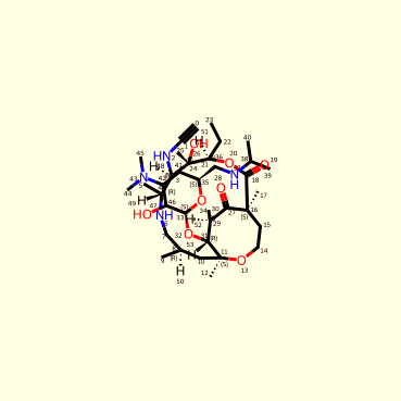 C#CN[C@@H]1[C@@H](C)NC[C@H](C)C[C@]2(C)OCC[C@](C)(C(=O)O[C@H](CC)[C@@]1(C)O)C(=O)[C@H](C)[C@H]2O[C@@H]1O[C@H](CNC(C)C)CC(N(C)C)C1O